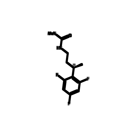 CNC(=O)NCC[C@@H](C)c1c(F)cc(F)cc1F